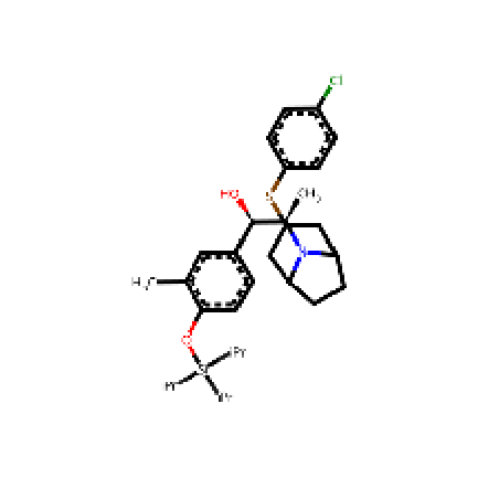 Cc1cc([C@@H](O)[C@@H](C)N2C3CCC2CC(Sc2ccc(Cl)cc2)C3)ccc1O[Si](C(C)C)(C(C)C)C(C)C